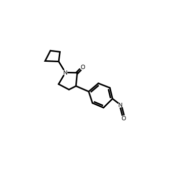 O=Nc1ccc(C2CCN(C3CCC3)C2=O)cc1